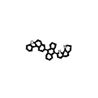 c1cnc2c(c1)ccc1ccc(-c3c4ccccc4c(-c4ccc5c(ccc6oc7ccccc7c65)c4)c4ccccc34)nc12